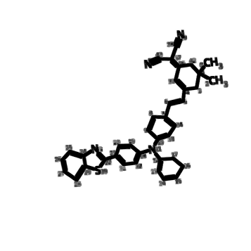 CC1(C)CC(/C=C/c2ccc(N(C3=CC=CCC3)c3ccc(-c4nc5ccccc5s4)cc3)cc2)=CC(=C(C#N)C#N)C1